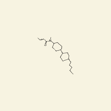 C/C=C/C(=O)N(C)C1CCC(C2CCC(CCCCC)CC2)CC1